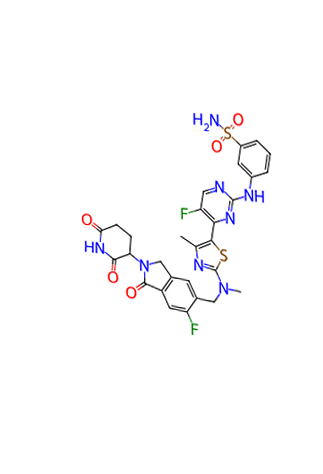 Cc1nc(N(C)Cc2cc3c(cc2F)C(=O)N(C2CCC(=O)NC2=O)C3)sc1-c1nc(Nc2cccc(S(N)(=O)=O)c2)ncc1F